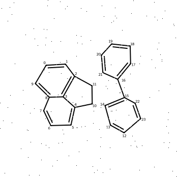 c1cc2c3c(cccc3c1)CC2.c1ccc(-c2ccccc2)cc1